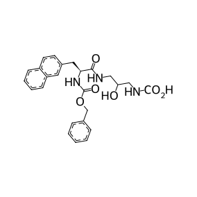 O=C(O)NCC(O)CNC(=O)[C@H](Cc1ccc2ccccc2c1)NC(=O)OCc1ccccc1